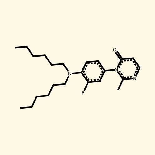 CCCCCCN(CCCCCC)c1ccc(-n2c(C)nccc2=O)cc1F